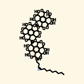 CCCCCCCC/C=C\CCCCCCCCOC(=O)c1c(C(=O)O)c(C(=O)O)c(C(=O)O)c(C(=O)OC(=O)c2c(C(=O)O)c(C(=O)O)c(C(=O)O)c(C(=O)O)c2C(=O)O)c1C(=O)OC(=O)c1c(C(=O)O)c(C(=O)O)c(C(=O)O)c(C(=O)O)c1C(=O)O